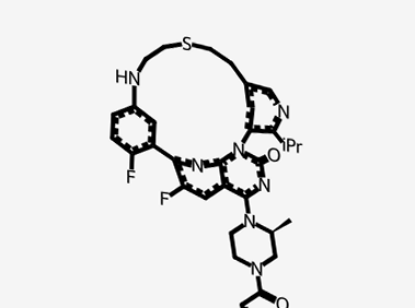 C=CC(=O)N1CCN(c2nc(=O)n3c4nc(c(F)cc24)-c2cc(ccc2F)NCCSCCc2cnc(C(C)C)c-3c2)[C@@H](C)C1